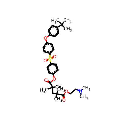 CN(C)CCOC(=O)C(C)(C)CC(C)(C)C(=O)Oc1ccc(S(=O)(=O)c2ccc(Oc3ccc(C(C)(C)C)cc3)cc2)cc1